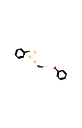 O=C(OC[C@H]1O[C@H]1COS(=O)(=O)Cc1ccccc1)c1ccccc1